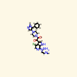 C=N/C=C\N(N)c1ncc(F)c2c(C(=O)C(=O)N3CCN(c4cnn(C)c4-c4ccccc4)CC3)c[nH]c12